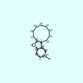 C[n+]1ccc2oc3c(c2c1)CCCCCCCC3